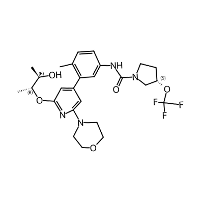 Cc1ccc(NC(=O)N2CC[C@H](OC(F)(F)F)C2)cc1-c1cc(O[C@H](C)[C@@H](C)O)nc(N2CCOCC2)c1